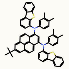 Cc1ccc(N(c2cc(N(c3ccc(C)c(C)c3)c3cccc4c3sc3ccccc34)c3ccc4cc(C(C)(C)C)cc5ccc2c3c54)c2cccc3c2sc2ccccc23)cc1C